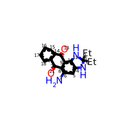 CCC1(CC)Nc2cc(N)c3c(c2N1)C(=O)c1ccccc1C3=O